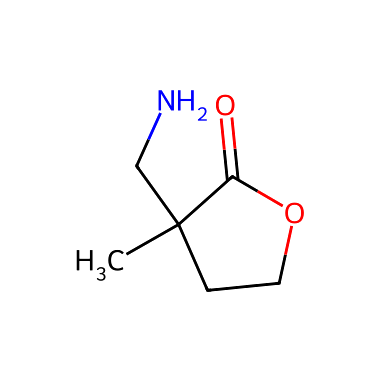 CC1(CN)CCOC1=O